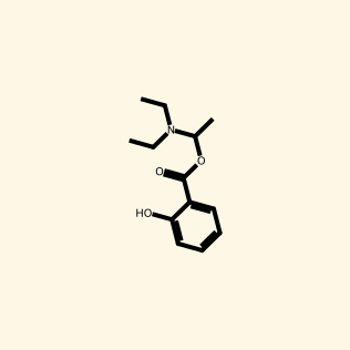 CCN(CC)C(C)OC(=O)c1ccccc1O